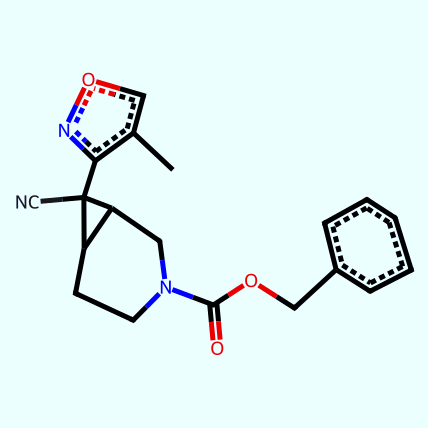 Cc1conc1C1(C#N)C2CCN(C(=O)OCc3ccccc3)CC21